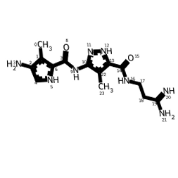 Cc1c(N)c[nH]c1C(=O)Nc1n[nH]c(C(=O)NCCC(=N)N)c1C